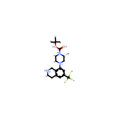 C[C@@H]1CN(c2cc(C(F)(F)F)cc3c2CNCC3)CCN1C(=O)OC(C)(C)C